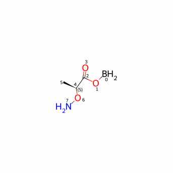 BOC(=O)[C@H](C)ON